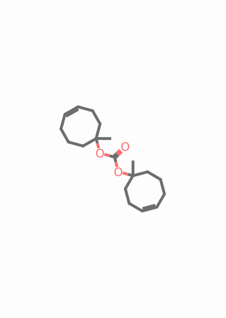 CC1(OC(=O)OC2(C)CCC=CCCC2)CCC=CCCC1